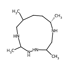 CC1CC[C@H](C)NCC(C)NNC(C)NC1